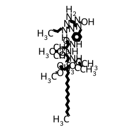 CCCCCCCCCCCCCCC(SCC(NC(=O)OC(C)(C)C)C(=O)NC(COC(C)(C)C)C(=O)Nc1ccc(Cn2c(O)nc3c(N)nc(NCCCC)nc32)cc1)C(=O)OCC